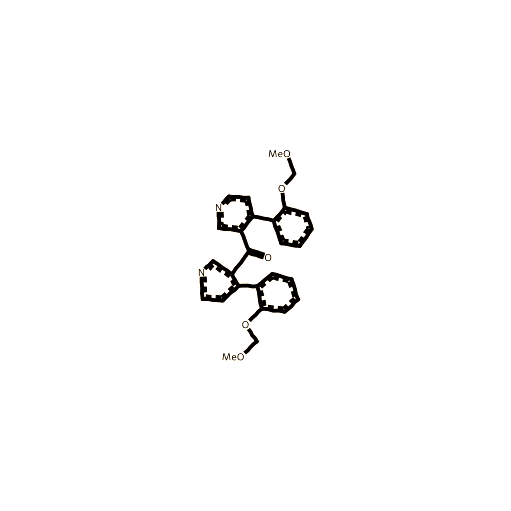 COCOc1ccccc1-c1ccncc1C(=O)c1cnccc1-c1ccccc1OCOC